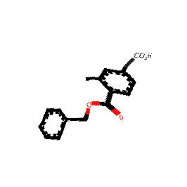 Cc1cc(C(=O)O)ccc1C(=O)OCc1ccccc1